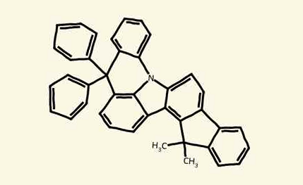 CC1(C)c2ccccc2-c2ccc3c(c21)c1cccc2c1n3-c1ccccc1C2(c1ccccc1)c1ccccc1